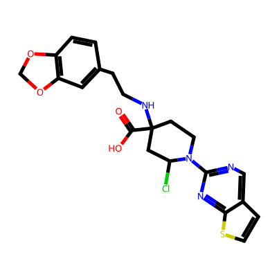 O=C(O)C1(NCCc2ccc3c(c2)OCO3)CCN(c2ncc3ccsc3n2)C(Cl)C1